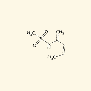 C=C(/C=C\C)NS(C)(=O)=O